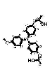 COc1ccc(N(c2ccc(OC(C)O)cc2)c2ccc(OC(C)O)cc2)cc1